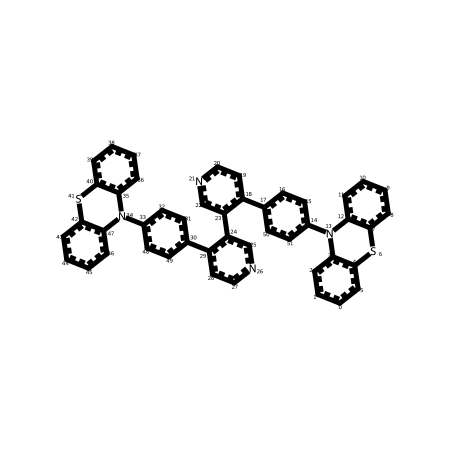 c1ccc2c(c1)Sc1ccccc1N2c1ccc(-c2ccncc2-c2cnccc2-c2ccc(N3c4ccccc4Sc4ccccc43)cc2)cc1